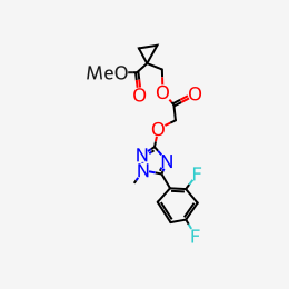 COC(=O)C1(COC(=O)COc2nc(-c3ccc(F)cc3F)n(C)n2)CC1